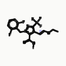 CCO/C=C/c1c(C(F)(F)F)nn(Cc2c(F)cccc2F)c1C(=O)OC